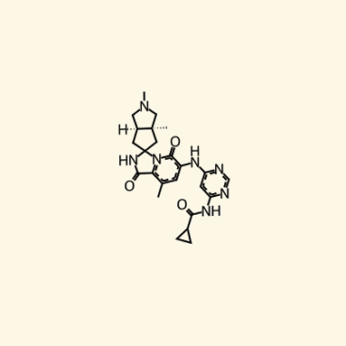 Cc1cc(Nc2cc(NC(=O)C3CC3)ncn2)c(=O)n2c1C(=O)NC21C[C@H]2CN(C)C[C@@]2(C)C1